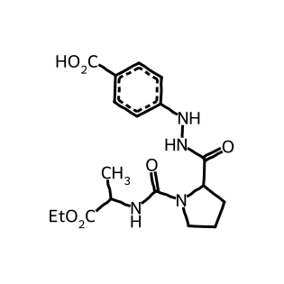 CCOC(=O)C(C)NC(=O)N1CCCC1C(=O)NNc1ccc(C(=O)O)cc1